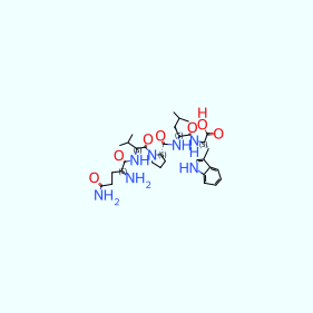 CC(C)C[C@H](NC(=O)[C@@H]1CCCN1C(=O)[C@@H](NC(=O)[C@@H](N)CCC(N)=O)C(C)C)C(=O)N[C@@H](Cc1c[nH]c2ccccc12)C(=O)O